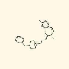 Cc1ccc2c(c1)C/C(=C\CCN1CCC(Cc3ccccc3)CC1)[C@@H](C)CS2